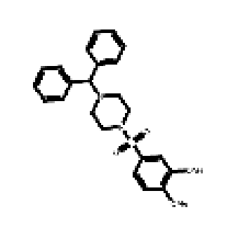 COc1ccc(S(=O)(=O)N2CCN(C(c3ccccc3)c3ccccc3)CC2)cc1OC